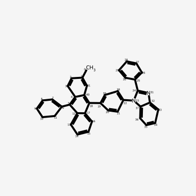 Cc1ccc2c(C3=CC=CCC3)c3ccccc3c(-c3ccc(-n4c(-c5ccccc5)nc5ccccc54)cc3)c2c1